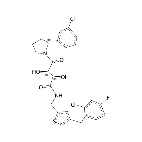 O=C(NCc1cc(Cc2ccc(F)cc2Cl)cs1)[C@H](O)[C@@H](O)C(=O)N1CCC[C@@H]1c1cccc(Cl)c1